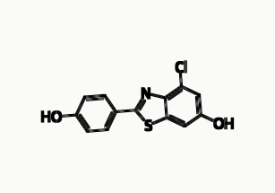 Oc1ccc(-c2nc3c(Cl)cc(O)cc3s2)cc1